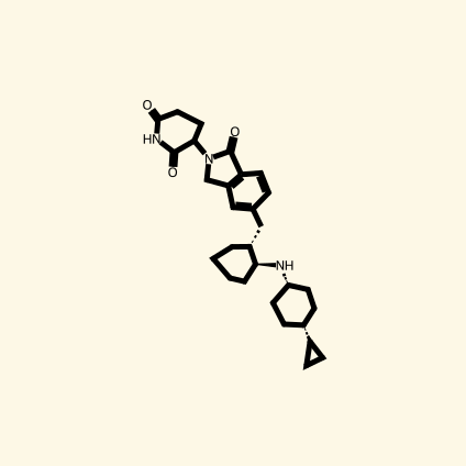 O=C1CCC(N2Cc3cc(C[C@H]4CCCC[C@@H]4N[C@H]4CC[C@@H](C5CC5)CC4)ccc3C2=O)C(=O)N1